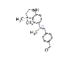 C/C(=C\c1ccc(C=O)cc1)c1ccc2c(c1)C(C)(C)CCN2